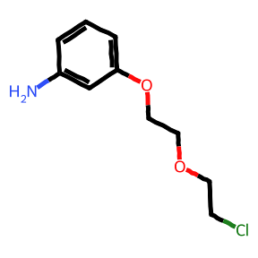 Nc1cccc(OCCOCCCl)c1